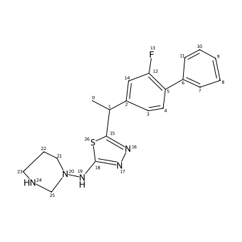 CC(c1ccc(-c2ccccc2)c(F)c1)c1nnc(NN2CCCNC2)s1